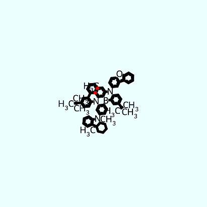 Cc1cc2c3c(c1)N(c1ccc(C(C)(C)C)cc1-c1ccccc1)c1cc(N4c5ccccc5C5(C)CCCCC45C)ccc1B3c1cc(C(C)(C)C)ccc1N2c1ccc2oc3ccccc3c2c1